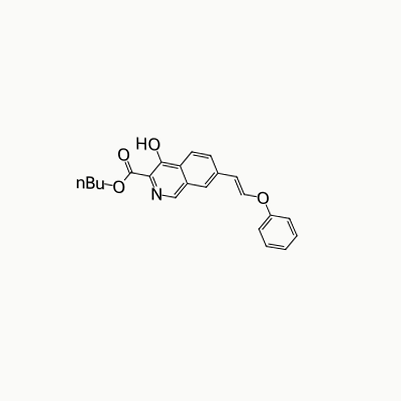 CCCCOC(=O)c1ncc2cc(C=COc3ccccc3)ccc2c1O